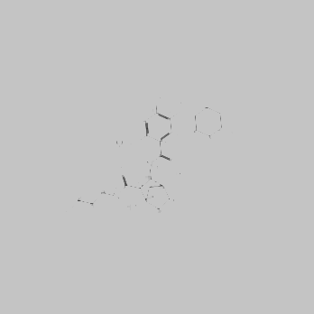 COc1cc(F)c(O[C@H]2CC[C@@H](C(=O)O)CC2)cc1C(=O)NC1C(C(=O)NCCCC(F)(F)F)[C@@H]2CC[C@H]1C2